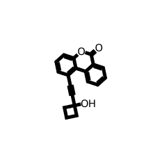 O=c1oc2cccc(C#CC3(O)CCC3)c2c2ccccc12